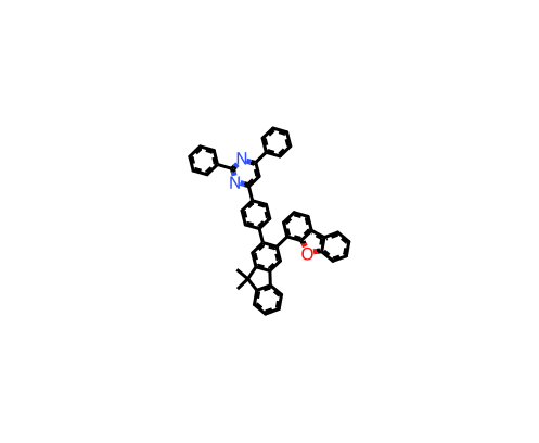 CC1(C)c2ccccc2-c2cc(-c3cccc4c3oc3ccccc34)c(-c3ccc(-c4cc(-c5ccccc5)nc(-c5ccccc5)n4)cc3)cc21